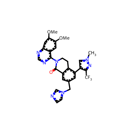 COc1cc2ncnc(N3CCc4c(cc(Cn5ccnc5)cc4-c4cn(C)nc4C(F)(F)F)C3=O)c2cc1OC